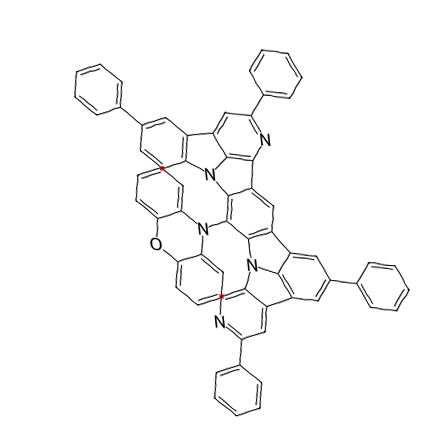 c1ccc(-c2ccc3c(c2)c2cc(-c4ccccc4)nc4c5cc6c7cc(-c8ccccc8)cc8c9cc(-c%10ccccc%10)ncc9n(c6c(N6c9ccccc9Oc9ccccc96)c5n3c24)c87)cc1